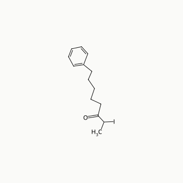 CC(I)C(=O)CCCCCc1ccccc1